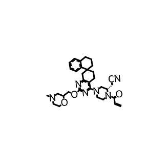 C=CC(=O)N1CCN(c2nc(OCC3CN(C)CCO3)nc3c2CCC2(CCCc4ccccc42)C3)C[C@@H]1CC#N